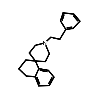 c1ccc(CCN2CCC3(CCCc4ccccc43)CC2)cc1